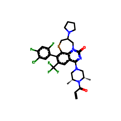 C=CC(=O)N1[C@H](C)CN(c2nc(=O)n3c4c(c(-c5cc(Cl)c(F)cc5F)c(C(F)(F)F)cc24)SCC(N2CCCC2)C3)C[C@@H]1C